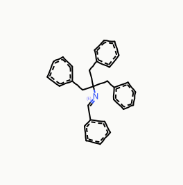 C(=N\C(Cc1ccccc1)(Cc1ccccc1)Cc1ccccc1)/c1ccccc1